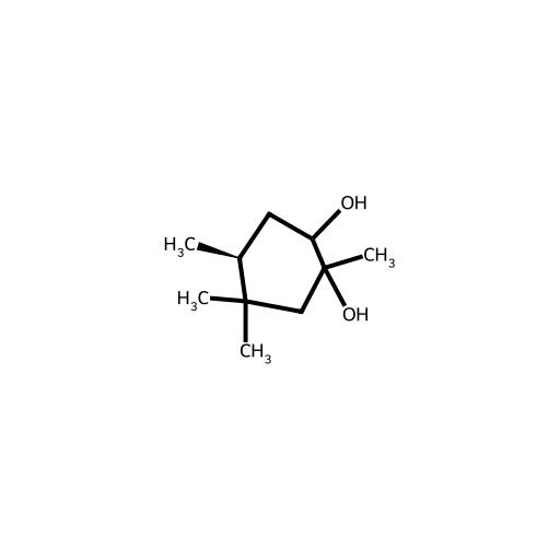 C[C@H]1CC(O)C(C)(O)CC1(C)C